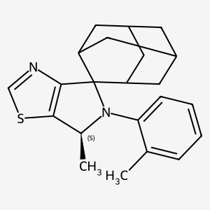 Cc1ccccc1N1[C@@H](C)c2scnc2C12C1CC3CC(C1)CC2C3